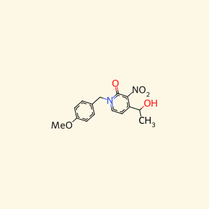 COc1ccc(Cn2ccc(C(C)O)c([N+](=O)[O-])c2=O)cc1